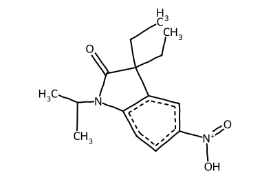 CCC1(CC)C(=O)N(C(C)C)c2ccc([N+](=O)O)cc21